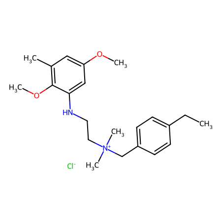 CCc1ccc(C[N+](C)(C)CCNc2cc(OC)cc(C)c2OC)cc1.[Cl-]